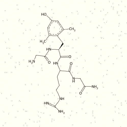 Cc1cc(O)cc(C)c1C[C@H](NC(=O)CN)C(=O)NC(CCCNC(=N)N)C(=O)NCC(N)=O